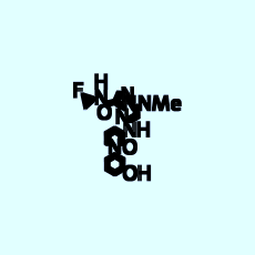 CNc1cc(Nc2cccn([C@@H]3CCC[C@@H](O)C3)c2=O)nc2c(C(=O)N[C@@H]3C[C@@H]3F)cnn12